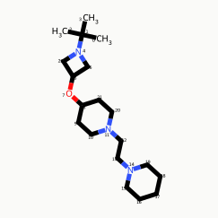 CC(C)(C)N1CC(OC2CCN(CCN3CCCCC3)CC2)C1